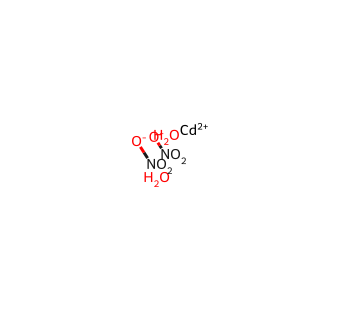 O.O.O=[N+]([O-])[O-].O=[N+]([O-])[O-].[Cd+2]